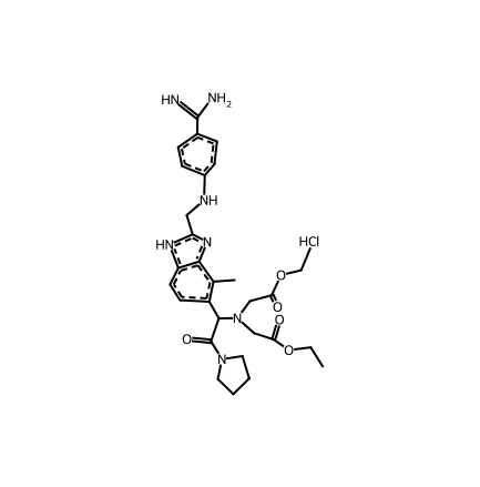 CCOC(=O)CN(CC(=O)OCC)C(C(=O)N1CCCC1)c1ccc2[nH]c(CNc3ccc(C(=N)N)cc3)nc2c1C.Cl